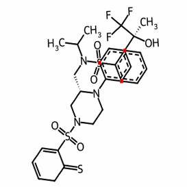 CC(C)N(C[C@H]1CN(S(=O)(=O)C2=CC=CCC2=S)CCN1c1ccc([C@](C)(O)C(F)(F)F)cc1)S(=O)(=O)c1ccccc1